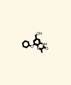 Cc1nc2c(OC3CCCCC3)cc(CO)cc2[nH]c1=O